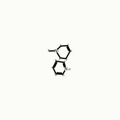 CN1CC=CCC1.c1ccncc1